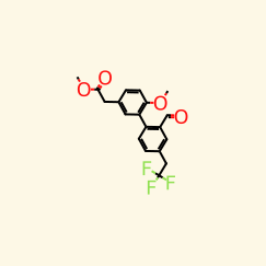 COC(=O)Cc1ccc(OC)c(-c2ccc(CC(F)(F)F)cc2C=O)c1